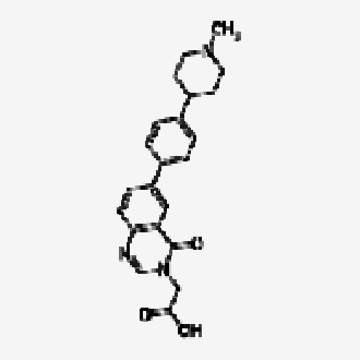 CN1CCC(c2ccc(-c3ccc4ncn(CC(=O)O)c(=O)c4c3)cc2)CC1